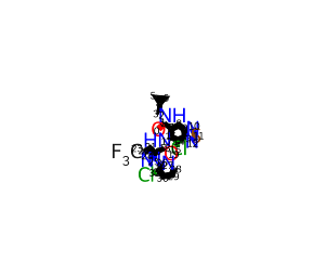 O=C(NCC1CC1)c1cc2nsnc2c(Cl)c1NC(=O)c1cc(C(F)(F)F)nn1-c1ncccc1Cl